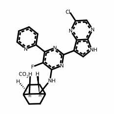 O=C(O)[C@@H]1C2CCC(CC2)[C@H]1Nc1nc(-c2c[nH]c3ncc(Cl)nc23)nc(-c2ccccn2)c1F